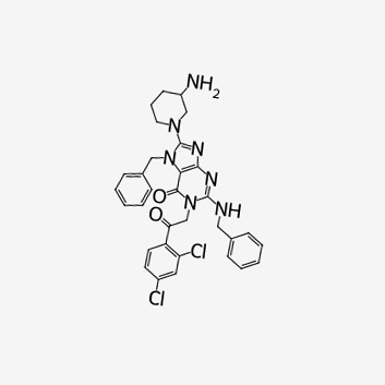 NC1CCCN(c2nc3nc(NCc4ccccc4)n(CC(=O)c4ccc(Cl)cc4Cl)c(=O)c3n2Cc2ccccc2)C1